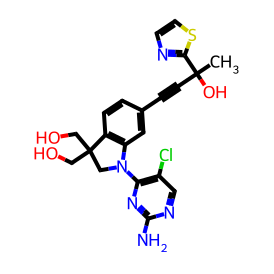 CC(O)(C#Cc1ccc2c(c1)N(c1nc(N)ncc1Cl)CC2(CO)CO)c1nccs1